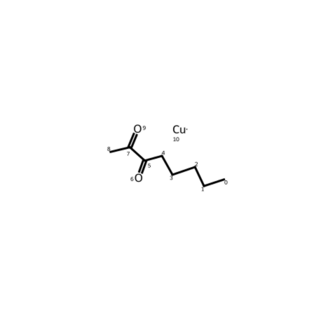 CCCCCC(=O)C(C)=O.[Cu]